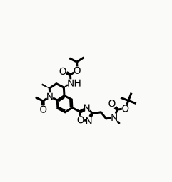 CC(=O)N1c2ccc(-c3nc(CCN(C)C(=O)OC(C)(C)C)no3)cc2[C@H](NC(=O)OC(C)C)C[C@@H]1C